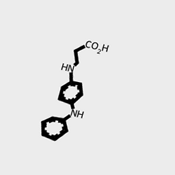 O=C(O)CCNc1ccc(Nc2ccccc2)cc1